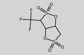 O=S1(=O)CC2OS(=O)(=O)C(C(F)(F)F)C2O1